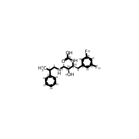 CC(CNC[C@H](O)[C@H](Cc1cc(F)cc(F)c1)NC(=O)O)c1ccccc1